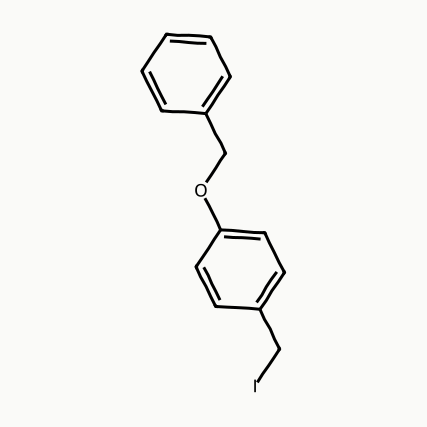 ICc1ccc(OCc2ccccc2)cc1